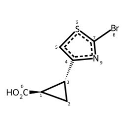 O=C(O)[C@@H]1C[C@H]1c1csc(Br)n1